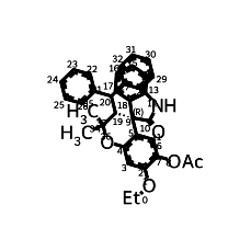 CCOc1cc2c(cc1OC(C)=O)[C@@]1(C(=O)Nc3ccccc31)C(C(c1ccccc1)c1ccccc1)C(C)(C)O2